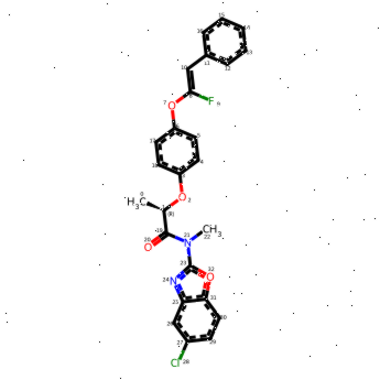 C[C@@H](Oc1ccc(OC(F)=Cc2ccccc2)cc1)C(=O)N(C)c1nc2cc(Cl)ccc2o1